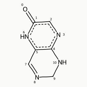 O=c1cnc2c([nH]1)C=NCN2